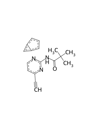 C#Cc1ccnc(NC(=O)C(C)(C)C)n1.c1cc2cc-2c1